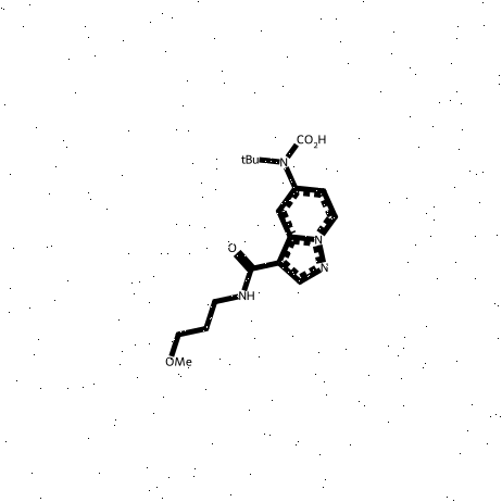 COCCCNC(=O)c1cnn2ccc(N(C(=O)O)C(C)(C)C)cc12